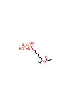 [2H]C(CCCCCCOP(=O)(O)OP(=O)(O)O)OC(=O)C=C